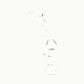 CC(C)(C)OC(=O)NCCOc1cccc(S(=O)(=O)CC2CCCCC2)c1